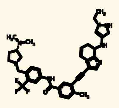 CCN1C=C(NC2CC=Cn3c(C#Cc4cc(C(=O)Nc5ccc(CN6CC[C@H](N(C)C)C6)c(C(F)(F)F)c5)ccc4C)cnc32)CN1